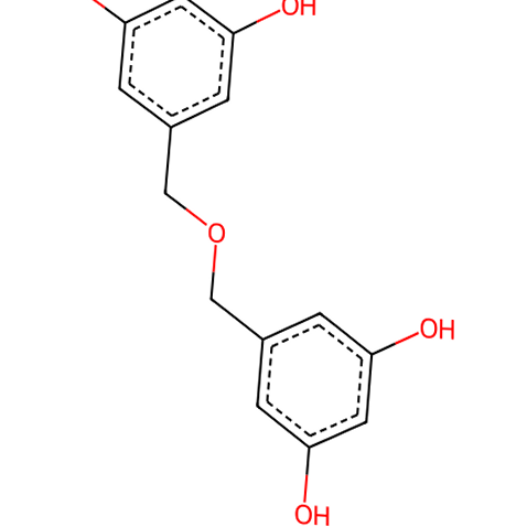 Oc1cc(O)cc(COCc2cc(O)cc(O)c2)c1